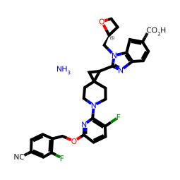 N.N#Cc1ccc(COc2ccc(F)c(N3CCC4(CC3)CC4c3nc4ccc(C(=O)O)cc4n3C[C@@H]3CCO3)n2)c(F)c1